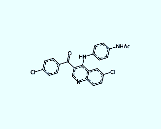 CC(=O)Nc1ccc(Nc2c(C(=O)c3ccc(Cl)cc3)cnc3ccc(Cl)cc23)cc1